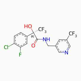 O=C(NCc1cncc(C(F)(F)F)c1)[C@](O)(c1ccc(Cl)c(F)c1)C(F)(F)F